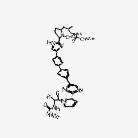 CNC(=O)NC(C(=O)N1CC=C[C@H]1c1nc(-c2ccc(-c3ccc(-c4c[nH]c(C5CCC(CC(C)CNC(=O)OC)N5C=O)n4)cc3)cc2)c[nH]1)C(C)C